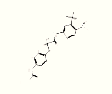 CC(=O)Nc1ccc(C[C@](C)(O)C(=O)Nc2ccc([N+](=O)[O-])c(C(F)(F)F)c2)cc1